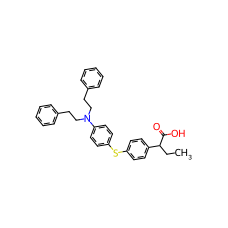 CCC(C(=O)O)c1ccc(Sc2ccc(N(CCc3ccccc3)CCc3ccccc3)cc2)cc1